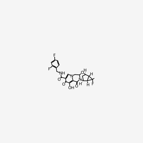 CC1(F)[C@@H]2[C@H]1[C@@H]1C[C@H]2OC2Cn3cc(C(=O)NCc4ccc(F)cc4F)c(=O)c(O)c3C(=O)N21